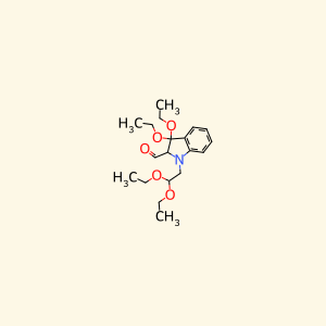 CCOC(CN1c2ccccc2C(OCC)(OCC)C1C=O)OCC